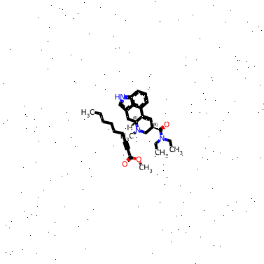 CCCCCCC#CC(=O)OC.CCN(CC)C(=O)[C@@H]1C=C2c3cccc4[nH]cc(c34)C[C@H]2N(C)C1